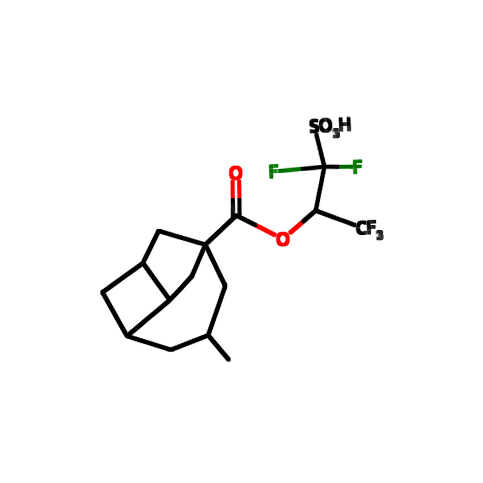 CC1CC2CC3CC(C(=O)OC(C(F)(F)F)C(F)(F)S(=O)(=O)O)(C1)CC23